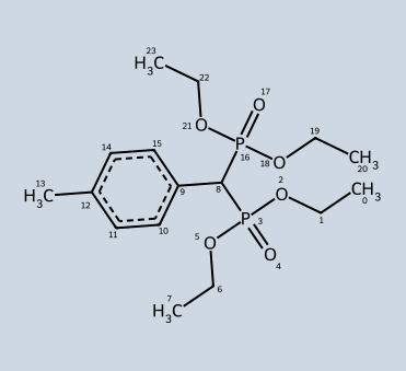 CCOP(=O)(OCC)C(c1ccc(C)cc1)P(=O)(OCC)OCC